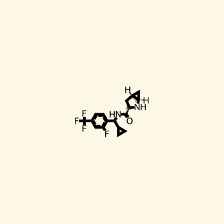 O=C(NC(c1ccc(C(F)(F)F)cc1F)C1CC1)[C@H]1C[C@H]2C[C@H]2N1